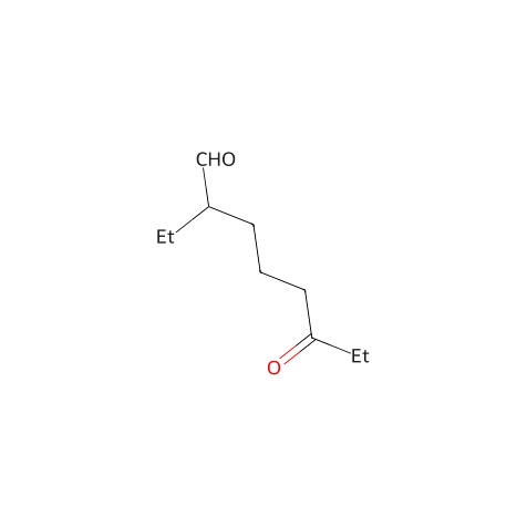 CCC(=O)CCCC(C=O)CC